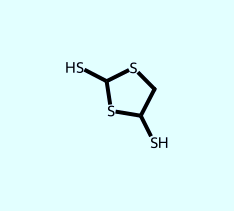 SC1CSC(S)S1